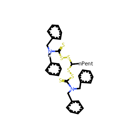 CCCCCC(SSC(=S)N(Cc1ccccc1)Cc1ccccc1)SSC(=S)N(Cc1ccccc1)Cc1ccccc1